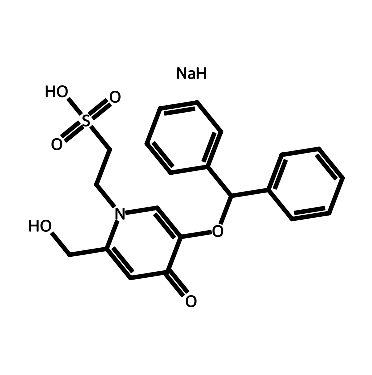 O=c1cc(CO)n(CCS(=O)(=O)O)cc1OC(c1ccccc1)c1ccccc1.[NaH]